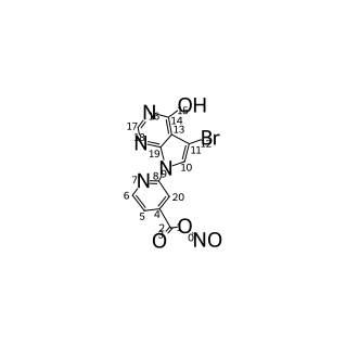 O=NOC(=O)c1ccnc(-n2cc(Br)c3c(O)ncnc32)c1